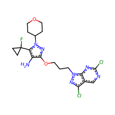 Nc1c(OCCCn2nc(Cl)c3cnc(Cl)nc32)nn(C2CCOCC2)c1C1(F)CC1